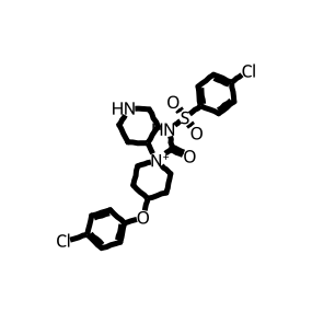 O=C(NS(=O)(=O)c1ccc(Cl)cc1)[N+]1(C2CCNCC2)CCC(Oc2ccc(Cl)cc2)CC1